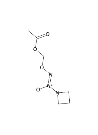 CC(=O)OCON=[N+]([O-])N1CCC1